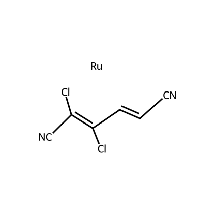 N#CC=CC(Cl)=C(Cl)C#N.[Ru]